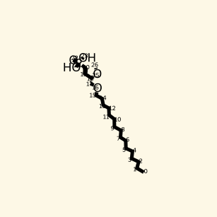 CCCCCCCCCCCCCCCCOC[C@H](C=CP(=O)(O)O)OC